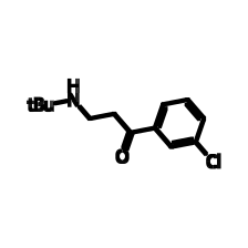 CC(C)(C)NCCC(=O)c1cccc(Cl)c1